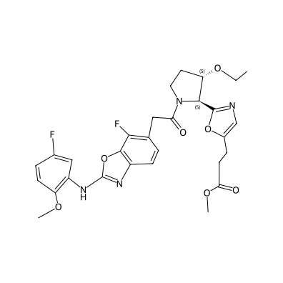 CCO[C@H]1CCN(C(=O)Cc2ccc3nc(Nc4cc(F)ccc4OC)oc3c2F)[C@@H]1c1ncc(CCC(=O)OC)o1